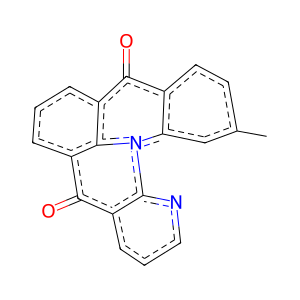 Cc1ccc2c(=O)c3cccc4c(=O)c5cccnc5n(c2c1)c34